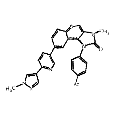 CC(=O)c1ccc(-n2c(=O)n(C)c3cnc4ccc(-c5ccc(-c6cnn(C)c6)nc5)cc4c32)cc1